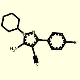 N#Cc1c(-c2ccc(Br)cc2)nn(C2CCCCC2)c1N